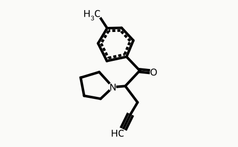 C#CCC(C(=O)c1ccc(C)cc1)N1CCCC1